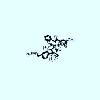 CCN1C(=O)N([C@@](C(C)=O)(C(=O)O)N(C(=O)[C@@H](N)CC(=O)O)c2ccccc2)C(=O)[C@@]1(C)c1ccc(C=NN)cc1